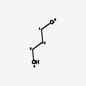 [O]C[CH]CO